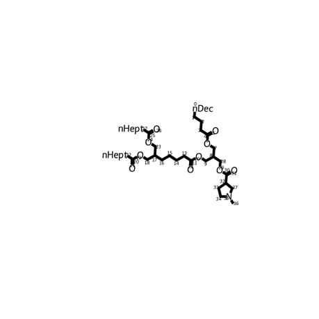 CCCCCCCCCCCCCC(=O)OCC(COC(=O)CCCCC(COC(=O)CCCCCCC)COC(=O)CCCCCCC)COC(=O)C1CCN(C)C1